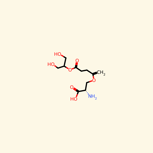 C=C(CCC(=O)OC(CO)CO)OC[C@H](N)C(=O)O